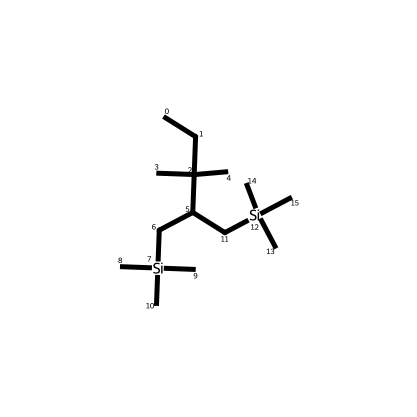 CCC(C)(C)C(C[Si](C)(C)C)C[Si](C)(C)C